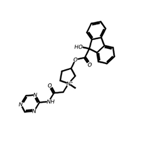 C[N+]1(CC(=O)Nc2ncncn2)CCC(OC(=O)C2(O)c3ccccc3-c3ccccc32)C1